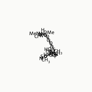 CNc1nc(Nc2ccc(OCCOCCOCCOCCSC(C)(C)C(NC(=O)C3(F)CC3)C(=O)N3C[C@H](O)C[C@H]3C(=O)NCc3ccc(-c4scnc4C)cc3)cc2OC)ncc1Cl